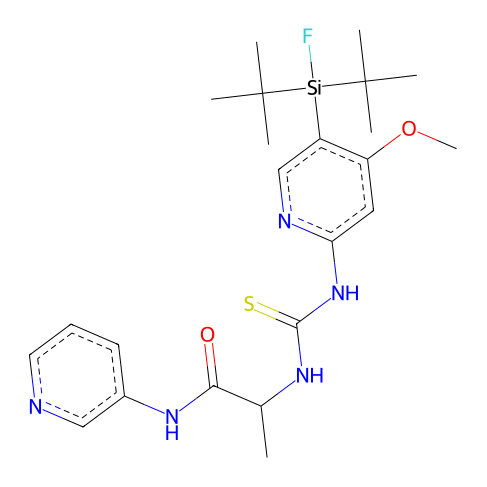 COc1cc(NC(=S)NC(C)C(=O)Nc2cccnc2)ncc1[Si](F)(C(C)(C)C)C(C)(C)C